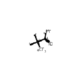 CC(C)C(=O)C(C)(C)C(F)(F)F